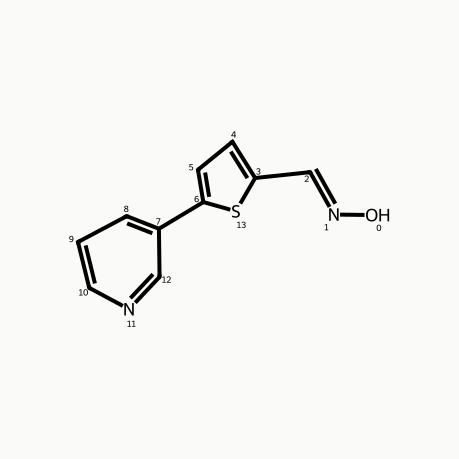 ON=Cc1ccc(-c2cccnc2)s1